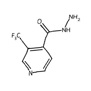 NNC(=O)c1ccncc1C(F)(F)F